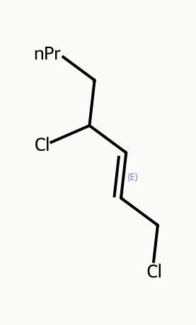 CCCCC(Cl)/C=C/CCl